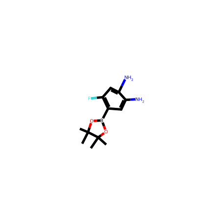 CC1(C)OB(c2cc(N)c(N)cc2F)OC1(C)C